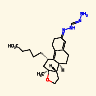 C[C@]12C[C@H](CCCCC(=O)O)C3=C4CCC(=NNC=NN)C=C4CC[C@H]3[C@@H]1CCO2